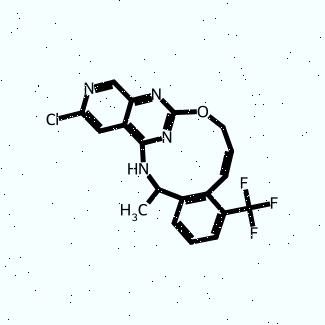 CC1Nc2nc(nc3cnc(Cl)cc23)OCC=Cc2c1cccc2C(F)(F)F